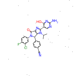 CC(C)n1c(-c2cnc(N)nc2O)nc2c1C(c1ccc(C#N)cc1)N(c1ccc(F)c(Cl)c1)C2=O